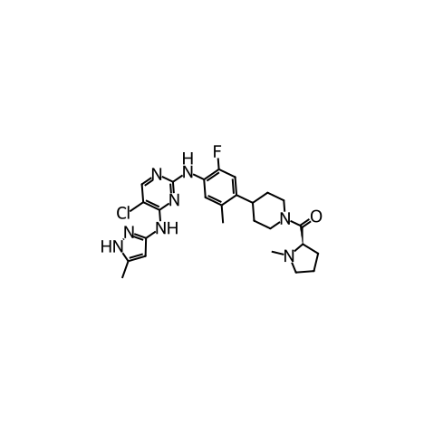 Cc1cc(Nc2nc(Nc3cc(C)c(C4CCN(C(=O)[C@H]5CCCN5C)CC4)cc3F)ncc2Cl)n[nH]1